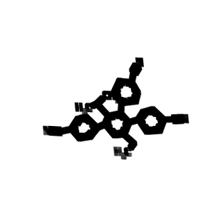 CCc1cc(-c2ccc(C#N)cc2)c(C(C)C)c(-c2ccc(C#N)cc2)c1-c1ccc(C#N)cc1